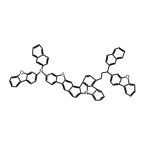 c1ccc2cc(C(CCc3ccc4c5c6cc7sc8cc(N(c9ccc%10ccccc%10c9)c9ccc%10c(c9)oc9ccccc9%10)ccc8c7cc6ccc5n5c6ccccc6c3c45)c3ccc4c(c3)oc3ccccc34)ccc2c1